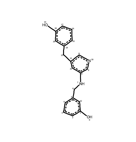 Oc1cccc(CNc2cncc(Cc3cccc(O)c3)c2)c1